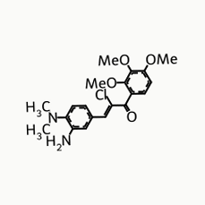 COc1ccc(C(=O)C(Cl)=Cc2ccc(N(C)C)c(N)c2)c(OC)c1OC